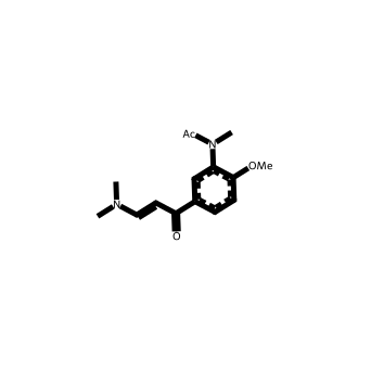 COc1ccc(C(=O)C=CN(C)C)cc1N(C)C(C)=O